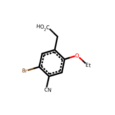 CCOc1cc(C#N)c(Br)cc1CC(=O)O